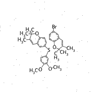 CC1=Cc2cc(Br)ccc2OC1(C)C.COc1ccc(Sc2ccc3c(c2)C=C(C)C(C)(C)O3)cc1OC